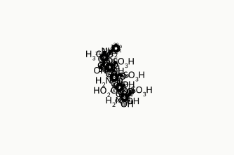 C[C@@H]1C(N)[C@@H](O[C@H]2C(O)C(OS(=O)(=O)O)[C@H](O[C@@H]3C(COS(=O)(=O)O)O[C@H](C)C(N)[C@H]3OCC3CCCCC3)O[C@H]2N=O)OC(COS(=O)(=O)O)[C@H]1O[C@@H]1OC(C(=O)O)[C@@H](O[C@H]2OC(COS(=O)(=O)O)[C@@H](O)[C@H](O)C2N)[C@H](O)C1O